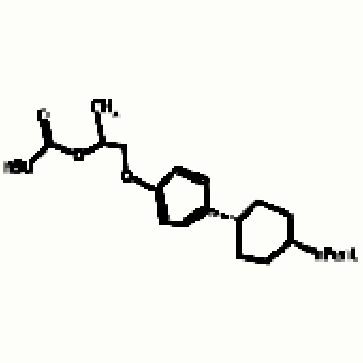 CCCCC[C@H]1CC[C@H](c2ccc(OCC(C)OC(=O)CCCC)cc2)CC1